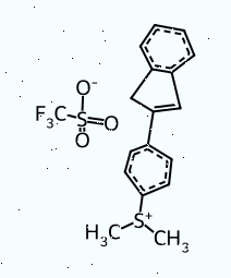 C[S+](C)c1ccc(C2=Cc3ccccc3C2)cc1.O=S(=O)([O-])C(F)(F)F